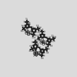 CC(C)(C)c1cc2c(c(C(C)(C)C)c1)OP(=O)([O-])Oc1c(cc(C(C)(C)C)cc1C(C)(C)C)C2.CC(C)(C)c1cc2c(c(C(C)(C)C)c1)OP(=O)([O-])Oc1c(cc(C(C)(C)C)cc1C(C)(C)C)C2.CC(C)(C)c1cc2c(c(C(C)(C)C)c1)OP(=O)([O-])Oc1c(cc(C(C)(C)C)cc1C(C)(C)C)C2.[Al+3]